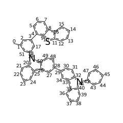 Cc1cc(-c2cccc3c2sc2ccccc23)cc(-n2c3ccccc3c3cc(-c4ccc5c(c4)c4ccccc4n5-c4ccccc4)ccc32)c1